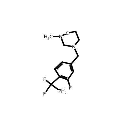 CN1CCCN(Cc2ccc(C(F)(F)P)c(F)c2)C1